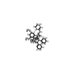 CC(C)c1cc(C(C)C)c(S(=O)(=O)NC(c2ccccc2)[C@@H](NCCCC2=CCC=CC2)c2ccccc2)c(C(C)C)c1